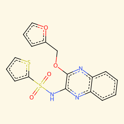 O=S(=O)(Nc1nc2ccccc2nc1OCc1ccco1)c1cccs1